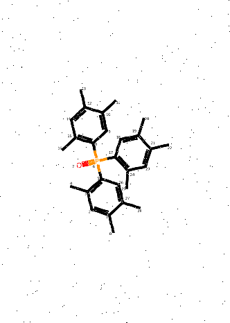 Cc1cc(C)c(P(=O)(c2cc(C)c(C)cc2C)c2cc(C)c(C)cc2C)cc1C